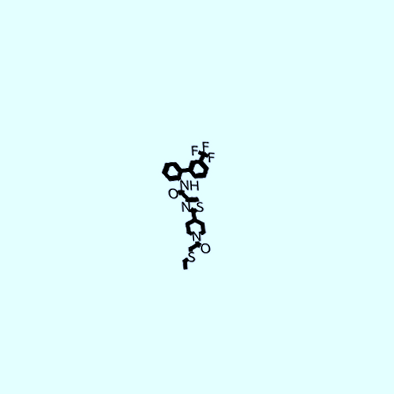 CCSCC(=O)N1CCC(c2nc(C(=O)Nc3ccccc3-c3cccc(C(F)(F)F)c3)cs2)CC1